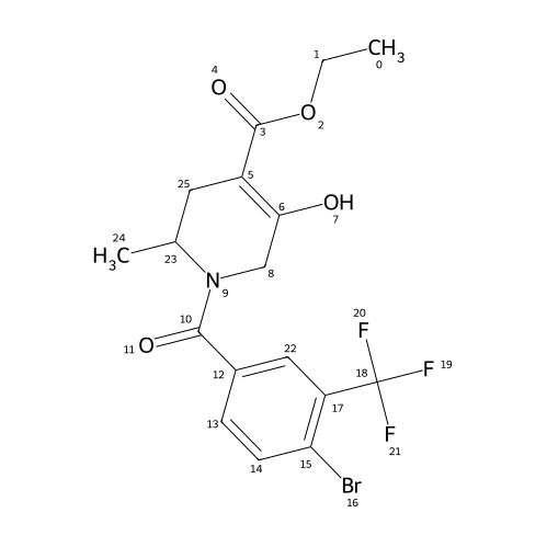 CCOC(=O)C1=C(O)CN(C(=O)c2ccc(Br)c(C(F)(F)F)c2)C(C)C1